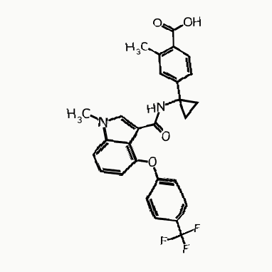 Cc1cc(C2(NC(=O)c3cn(C)c4cccc(Oc5ccc(C(F)(F)F)cc5)c34)CC2)ccc1C(=O)O